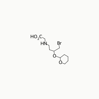 O=C(O)CNCCC(CBr)OC1CCCCO1